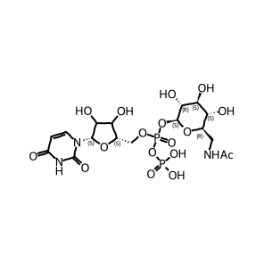 CC(=O)NC[C@H]1O[C@@H](OP(=O)(OC[C@@H]2O[C@H](n3ccc(=O)[nH]c3=O)C(O)C2O)OP(=O)(O)O)[C@H](O)[C@@H](O)[C@@H]1O